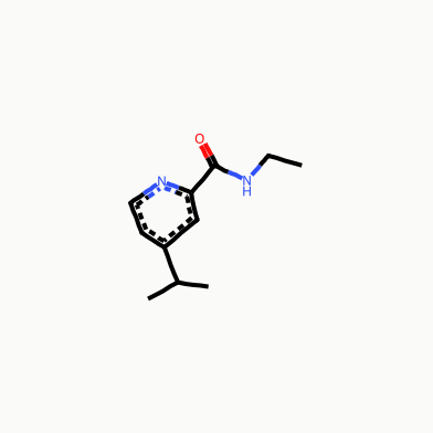 CCNC(=O)c1cc(C(C)C)ccn1